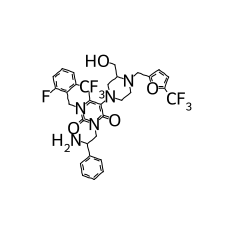 Cc1c(N2CCN(Cc3ccc(C(F)(F)F)o3)C(CO)C2)c(=O)n(CC(N)c2ccccc2)c(=O)n1Cc1c(F)cccc1C(F)(F)F